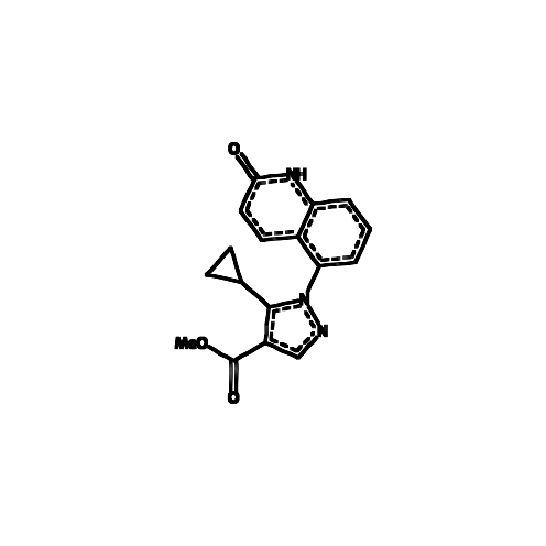 COC(=O)c1cnn(-c2cccc3[nH]c(=O)ccc23)c1C1CC1